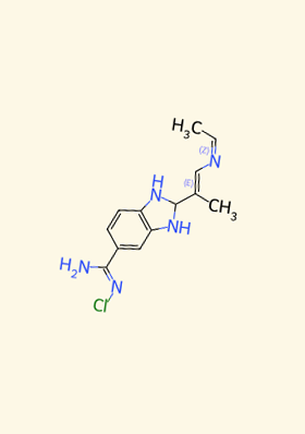 C/C=N\C=C(/C)C1Nc2ccc(C(N)=NCl)cc2N1